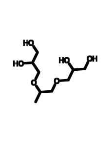 CC(COCC(O)CO)OCC(O)CO